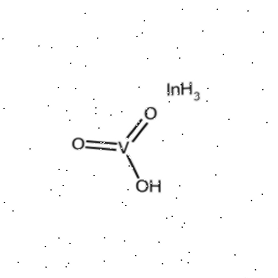 [InH3].[O]=[V](=[O])[OH]